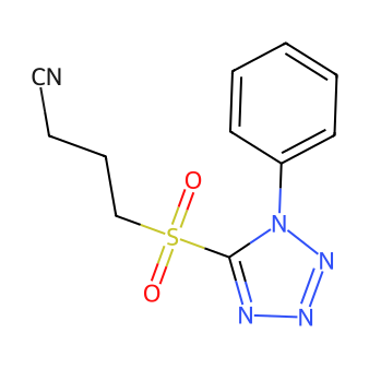 N#CCCCS(=O)(=O)c1nnnn1-c1ccccc1